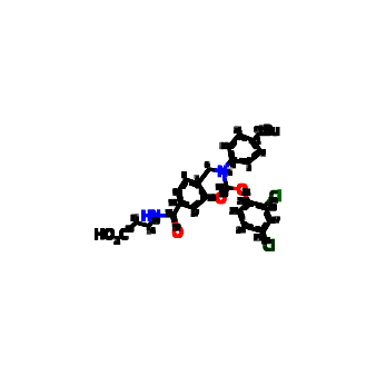 CC(C)(C)c1ccc(N(Cc2ccc(C(=O)NCCC(=O)O)cc2)C(=O)Oc2ccc(Cl)cc2Cl)cc1